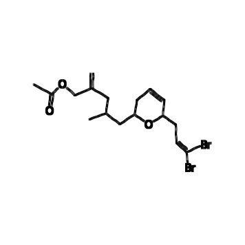 C=C(COC(C)=O)CC(C)CC1CC=CC(CC=C(Br)Br)O1